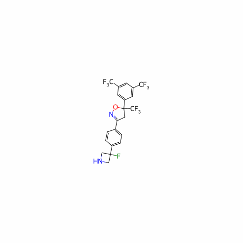 FC(F)(F)c1cc(C(F)(F)F)cc(C2(C(F)(F)F)CC(c3ccc(C4(F)CNC4)cc3)=NO2)c1